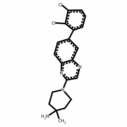 CC1(N)CCN(c2cnc3cc(-c4cccc(Cl)c4Cl)ccc3n2)CC1